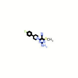 CSc1nc(N)nc(N2CCC(c3ccc(F)cc3)CC2)c1C#N